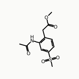 COC(=O)Cc1ccc(S(C)(=O)=O)cc1NC(C)=O